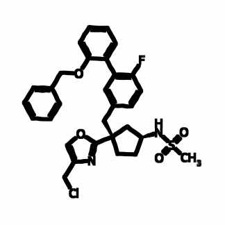 CS(=O)(=O)N[C@H]1CC[C@](Cc2ccc(F)c(-c3ccccc3OCc3ccccc3)c2)(c2nc(CCl)co2)C1